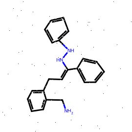 NCc1ccccc1C/C=C(\NNc1ccccc1)c1ccccc1